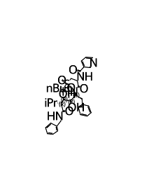 CCCCS(=O)(=O)CC(NC(=O)c1cccnc1)C(=O)N[C@@H](Cc1ccccc1)[C@@H](O)[C@H](O)[C@H](C(=O)NCc1ccccc1)C(C)C